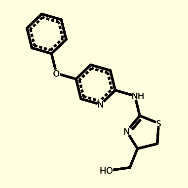 OCC1CSC(Nc2ccc(Oc3ccccc3)cn2)=N1